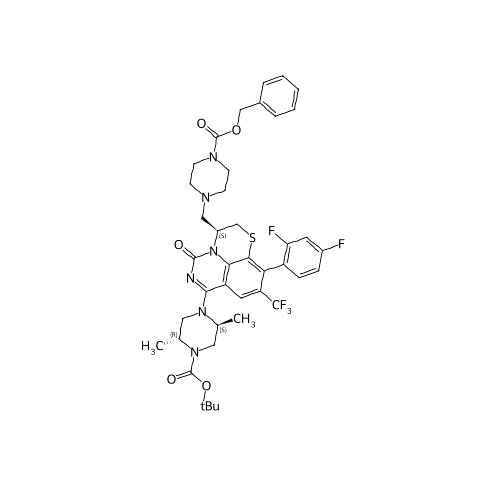 C[C@@H]1CN(c2nc(=O)n3c4c(c(-c5ccc(F)cc5F)c(C(F)(F)F)cc24)SC[C@@H]3CN2CCN(C(=O)OCc3ccccc3)CC2)[C@@H](C)CN1C(=O)OC(C)(C)C